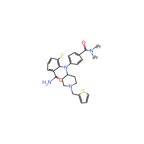 CC(C)N(C(=O)c1ccc(N(c2c(F)cccc2C(N)=O)C2CCN(Cc3cccs3)CC2)cc1)C(C)C